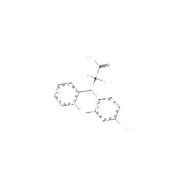 CC(C)(C(=O)O)[C@@H]1c2ccccc2Oc2cc(O)ccc21